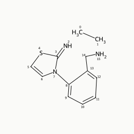 CC.N=c1sccn1-c1ccccc1CN